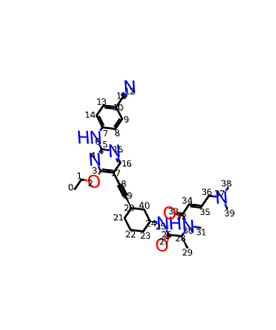 CCOc1nc(Nc2ccc(C#N)cc2)ncc1C#C[C@@H]1CCC[C@H](NC(=O)[C@H](C)N(C)C(=O)/C=C/CN(C)C)C1